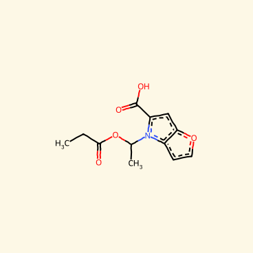 CCC(=O)OC(C)n1c(C(=O)O)cc2occc21